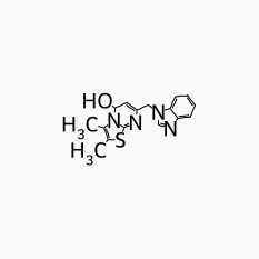 CC1=C(C)N2C(=NC(Cn3cnc4ccccc43)=CC2O)S1